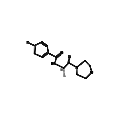 C[C@H](NC(=O)c1ccc(F)cc1)C(=O)N1CCOCC1